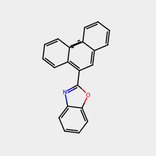 C1=CC2=CC(c3nc4ccccc4o3)=C3C=CC=CC34C=CC=CC24C=C1